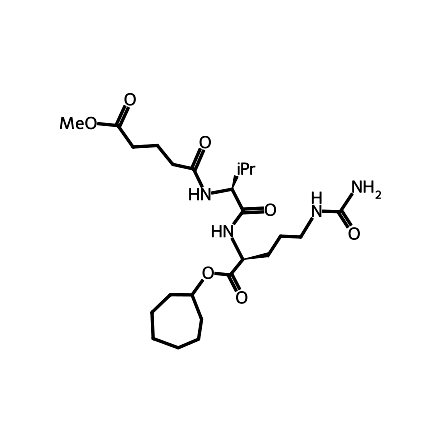 COC(=O)CCCC(=O)N[C@H](C(=O)N[C@@H](CCCNC(N)=O)C(=O)OC1CCCCCC1)C(C)C